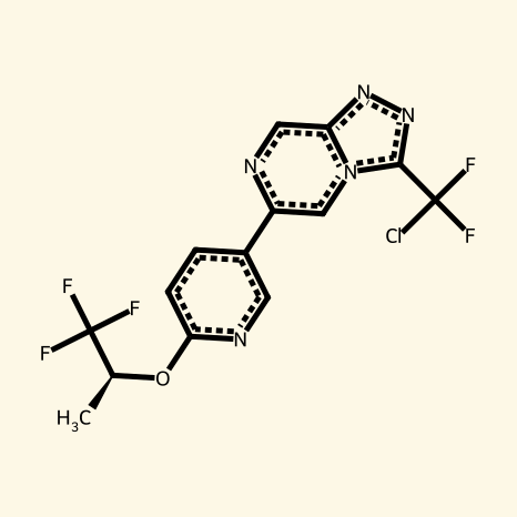 C[C@H](Oc1ccc(-c2cn3c(C(F)(F)Cl)nnc3cn2)cn1)C(F)(F)F